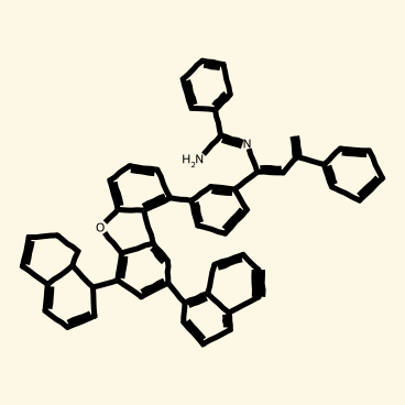 C=C(/C=C(\N=C(/N)c1ccccc1)c1cccc(-c2cccc3oc4c(C5C=CC=C6C=CCCC65)cc(-c5cccc6c#cccc56)cc4c23)c1)c1ccccc1